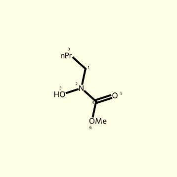 CCCCN(O)C(=O)OC